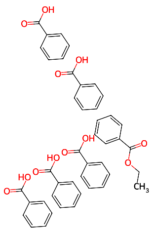 CCOC(=O)c1ccccc1.O=C(O)c1ccccc1.O=C(O)c1ccccc1.O=C(O)c1ccccc1.O=C(O)c1ccccc1.O=C(O)c1ccccc1